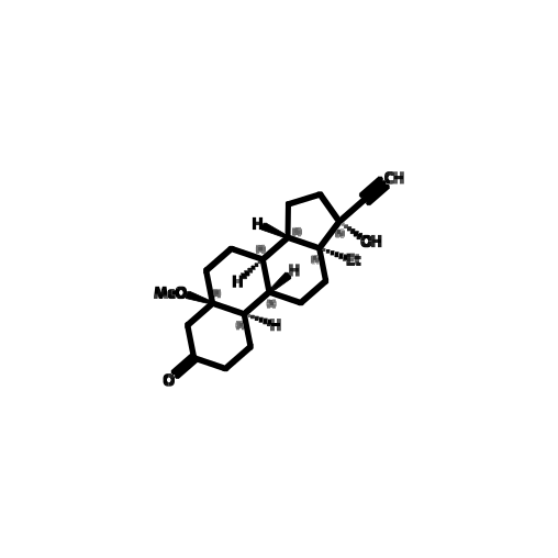 C#C[C@]1(O)CC[C@H]2[C@@H]3CC[C@@]4(OC)CC(=O)CC[C@@H]4[C@H]3CC[C@@]21CC